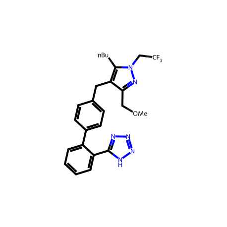 CCCCc1c(Cc2ccc(-c3ccccc3-c3nnn[nH]3)cc2)c(COC)nn1CC(F)(F)F